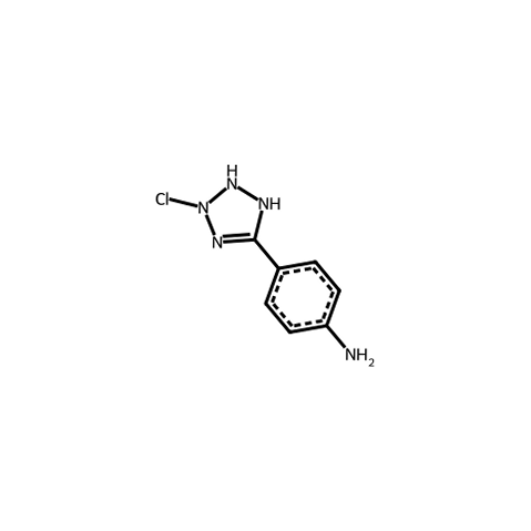 Nc1ccc(C2=NN(Cl)NN2)cc1